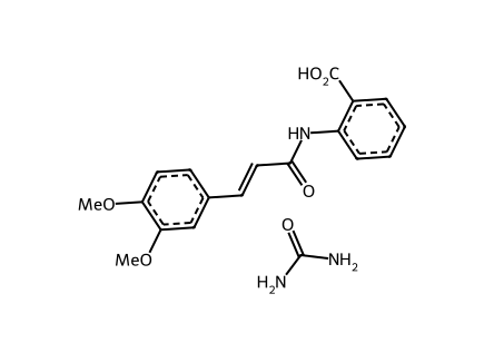 COc1ccc(/C=C/C(=O)Nc2ccccc2C(=O)O)cc1OC.NC(N)=O